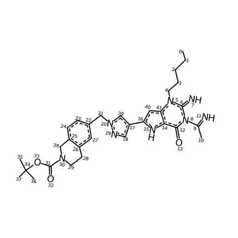 CCCCCn1c(=N)n(C(C)=N)c(=O)c2[nH]c(-c3cnn(Cc4ccc5c(c4)CCN(C(=O)OC(C)(C)C)C5)c3)cc21